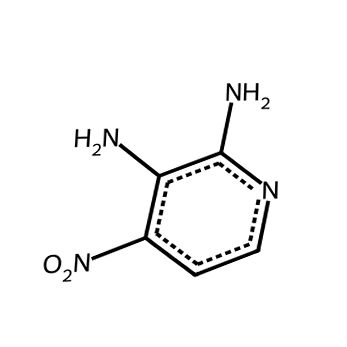 Nc1nccc([N+](=O)[O-])c1N